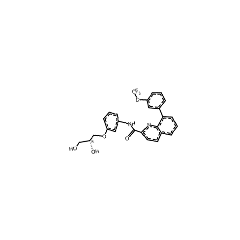 O=C(Nc1cccc(OC[C@H](O)CO)c1)c1ccc2cccc(-c3cccc(OC(F)(F)F)c3)c2n1